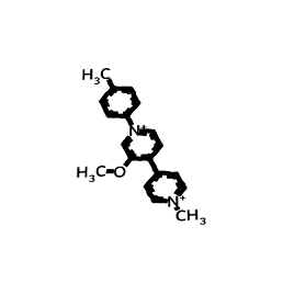 COc1c[n+](-c2ccc(C)cc2)ccc1-c1cc[n+](C)cc1